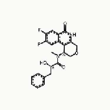 CN(C(=O)[C@H](O)Cc1ccccc1)[C@@H]1COCc2[nH]c(=O)c3cc(F)c(F)cc3c21